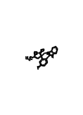 CC1CC2(Cn3c(nc4ccccc43)-c3ccc(F)cc32)C(=O)O1